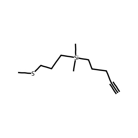 C#CCCC[Si](C)(C)CCCSC